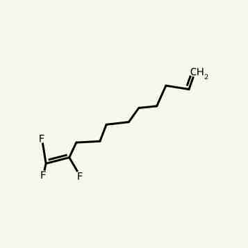 C=CCCCCCCCC(F)=C(F)F